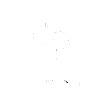 N[C@@H](CCc1cccc2ncccc12)C(=O)O